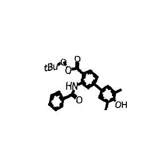 Cc1cc(-c2ccc(C(=O)OOC(C)(C)C)c(NC(=O)c3ccccc3)c2)cc(C)c1O